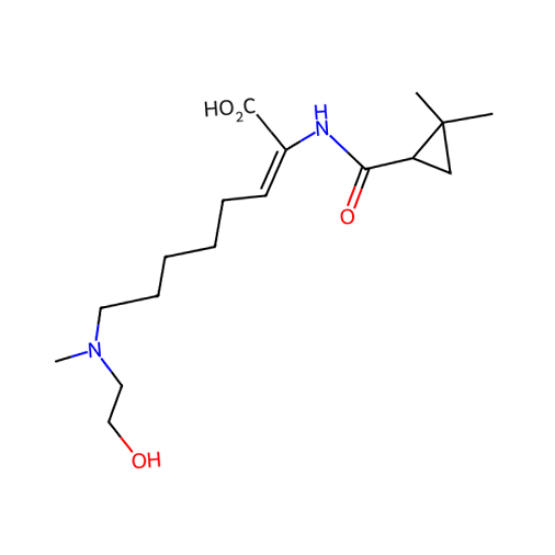 CN(CCO)CCCCCC=C(NC(=O)C1CC1(C)C)C(=O)O